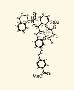 COC(=O)c1ccc(COc2ccc(C[C@H](NC(=O)[C@H](C)N(C)C(=O)OC(C)(C)C)C(=O)[C@@H]3CC=CC[C@H]3C(=O)N[C@@H]3CCCc4ccccc43)cc2)cc1